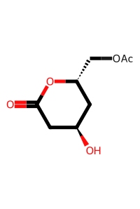 CC(=O)OC[C@@H]1C[C@@H](O)CC(=O)O1